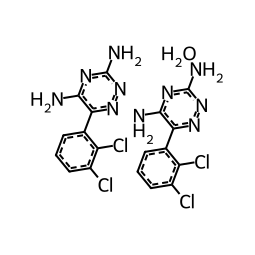 Nc1nnc(-c2cccc(Cl)c2Cl)c(N)n1.Nc1nnc(-c2cccc(Cl)c2Cl)c(N)n1.O